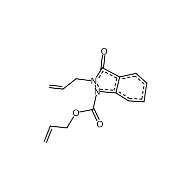 C=CCOC(=O)n1c2ccccc2c(=O)n1CC=C